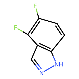 Fc1ccc2[nH]ncc2c1F